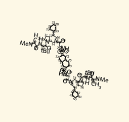 CN[C@@H](C)C(=O)N[C@H](C(=O)N1CCCC1CN(CCc1ccccc1)C(=O)CNS(=O)(=O)c1ccc2cc(S(=O)(=O)NCC(=O)N(CCc3ccccc3)C[C@@H]3CCCN3C(=O)[C@@H](NC(=O)[C@H](C)NC)C(C)(C)C)ccc2c1)C(C)(C)C